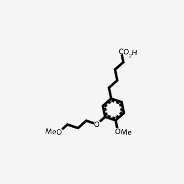 COCCCOc1cc(CCCCC(=O)O)ccc1OC